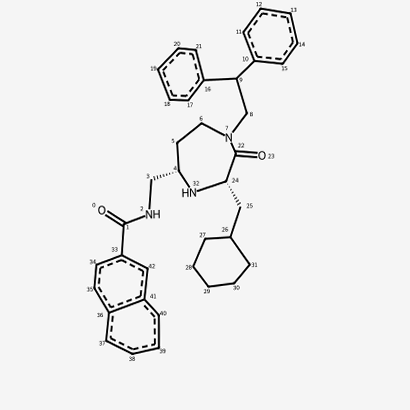 O=C(NC[C@@H]1CCN(CC(c2ccccc2)c2ccccc2)C(=O)[C@H](CC2CCCCC2)N1)c1ccc2ccccc2c1